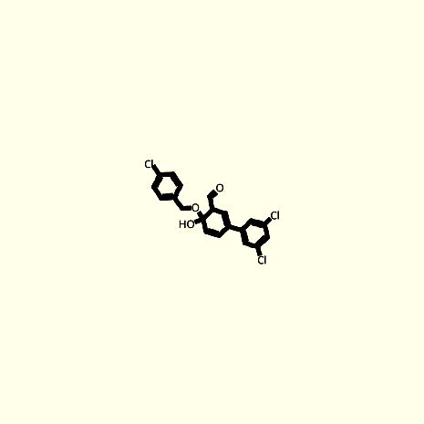 O=CC1C=C(c2cc(Cl)cc(Cl)c2)C=CC1(O)OCc1ccc(Cl)cc1